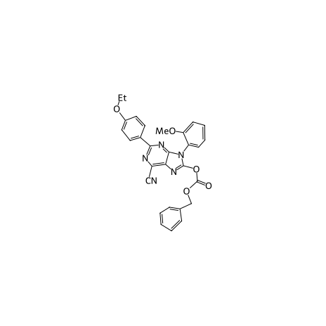 CCOc1ccc(-c2nc(C#N)c3nc(OC(=O)OCc4ccccc4)n(-c4ccccc4OC)c3n2)cc1